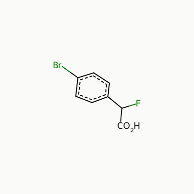 O=C(O)C(F)c1ccc(Br)cc1